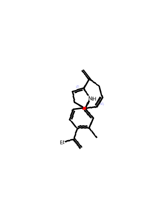 C=C1C/C=C\CC/C=C/1Nc1ccc(C(=C)CC)c(C)c1